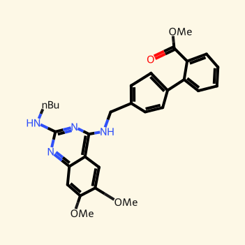 CCCCNc1nc(NCc2ccc(-c3ccccc3C(=O)OC)cc2)c2cc(OC)c(OC)cc2n1